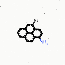 CCc1cc2cccc3ccc4c(N)ccc1c4c32